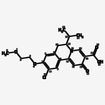 COCCOc1cc2c(cc1Cl)-c1cc(=O)c(C(=O)O)cn1C(C(C)C)C2